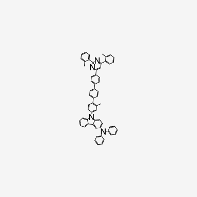 Cc1cc(-n2c3ccccc3c3cc(N(c4ccccc4)c4ccccc4)ccc32)ccc1-c1ccc(-c2ccc(-c3cc(-c4ccccc4C)nc(-c4ccccc4C)n3)cc2)cc1